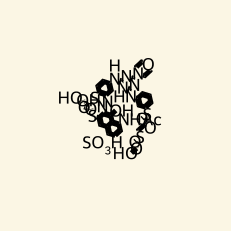 CC(=O)Nc1cc(S(=O)(=O)O)cc2cc(SOOO)c(N=Nc3cc(Nc4nc(Nc5cccc(SOC(=O)CSOOO)c5)nc(N5CCOCC5)n4)ccc3S(=O)(=O)O)c(O)c12